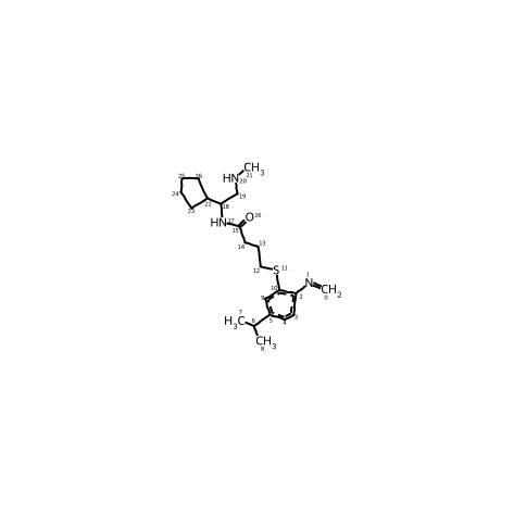 C=Nc1ccc(C(C)C)cc1SCCCC(=O)NC(CNC)C1CCCC1